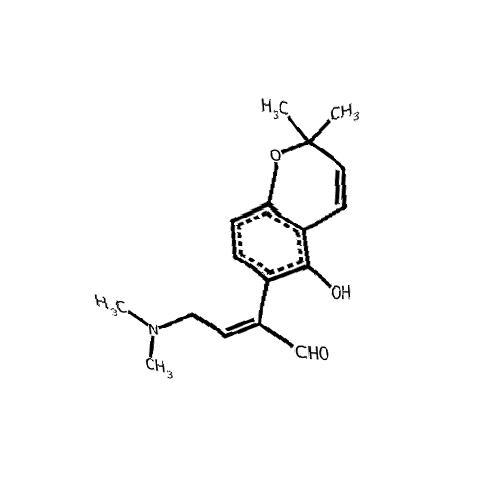 CN(C)C/C=C(/C=O)c1ccc2c(c1O)C=CC(C)(C)O2